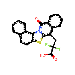 O=C(O)C(F)(F)Cc1c2ccccc2c(=O)n2c1sc1ccc3ccccc3c12